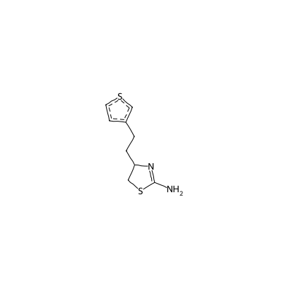 NC1=NC(CCc2ccsc2)CS1